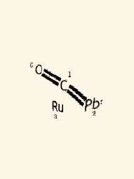 O=[C]=[Pb].[Ru]